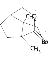 CC12CCC(COC1=O)C2(C)CBr